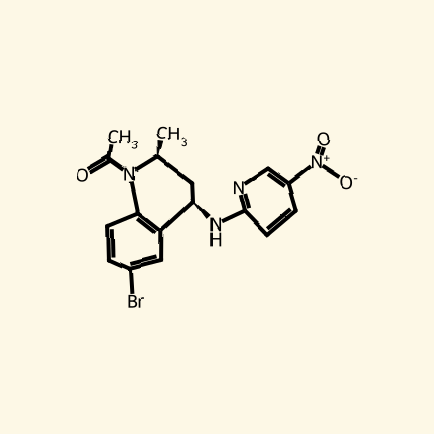 CC(=O)N1c2ccc(Br)cc2[C@H](Nc2ccc([N+](=O)[O-])cn2)C[C@@H]1C